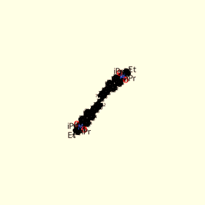 CCc1cc(C(C)C)c(N2C(=O)c3ccc4c5c(ccc(c35)C2=O)C2=CC=C3c5cc6cc(CCc7cc8cc9c(cc8cc7C)-c7ccc8c%10ccc%11c%12c(ccc(c%13ccc-9c7c8%13)c%12%10)C(=O)N(c7c(C(C)C)cc(CC)cc7C(C)C)C%11=O)c(C)cc6cc5C5=CC=C4C2C53)c(C(C)C)c1